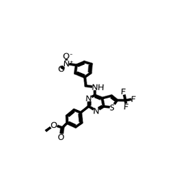 COC(=O)c1ccc(-c2nc(NCc3cccc([N+](=O)[O-])c3)c3cc(C(F)(F)F)sc3n2)cc1